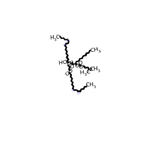 CCCCC/C=C\C/C=C\CCCCCCCC(=O)OCC(COC(O)CCCCCCC/C=C\C/C=C\CCCCC)OC(=O)C(CCCCCCCCCC)OC(=O)OCCCN(C)C